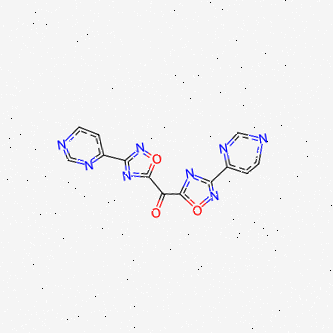 O=C(c1nc(-c2ccncn2)no1)c1nc(-c2ccncn2)no1